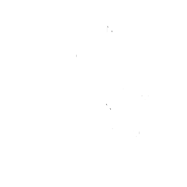 CCC(=O)N1C(=O)c2cccnc2Oc2ccccc21